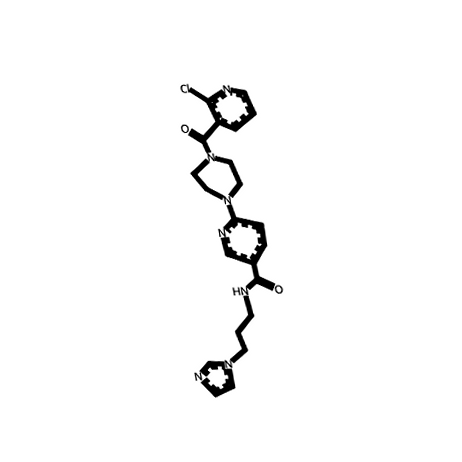 O=C(NCCCn1ccnc1)c1ccc(N2CCN(C(=O)c3cccnc3Cl)CC2)nc1